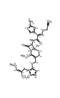 C#CCO/N=C(/C(=O)NC1C(=O)N2C(C(=O)O)=C(CSc3nnnn3C/C(=N\OC)C(=O)O)CS[C@H]12)c1csc(N)n1